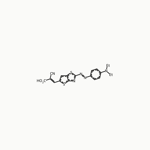 CCN(CC)c1ccc(/N=N/c2nc3sc(/C=C(\C#N)C(=O)O)cc3s2)cc1